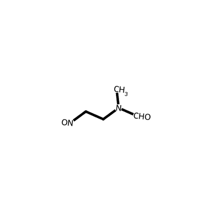 CN(C=O)CCN=O